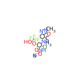 Cc1c(Nc2c(F)ccc(NS(=O)(=O)N3CC4CC3C4)c2Cl)ccc2ncn(C)c(=O)c12.O=C(O)C(F)(F)F